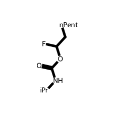 CCCCCCC(F)OC(=O)NC(C)C